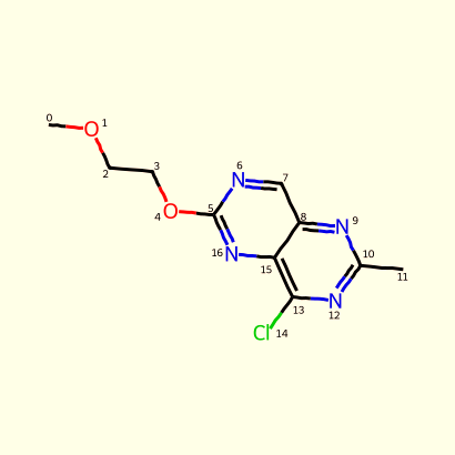 COCCOc1ncc2nc(C)nc(Cl)c2n1